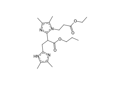 CCCOC(=O)C(Cc1nc(C)c(C)[nH]1)c1nc(C)c(C)n1CCC(=O)OCC